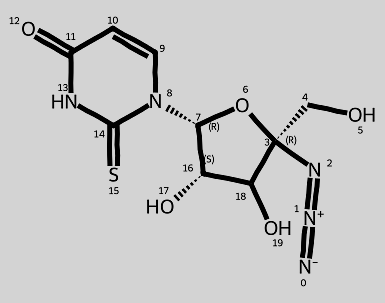 [N-]=[N+]=N[C@]1(CO)O[C@@H](n2ccc(=O)[nH]c2=S)[C@@H](O)C1O